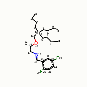 CCC[CH2][Sn]([CH2]CCC)([CH2]CCC)[CH2]O[C@@H](C)C/N=C/c1cc(F)ccc1F